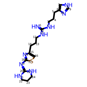 N=C(NCCCc1c[nH]cn1)NCCCc1csc(N=C2NCCCN2)n1